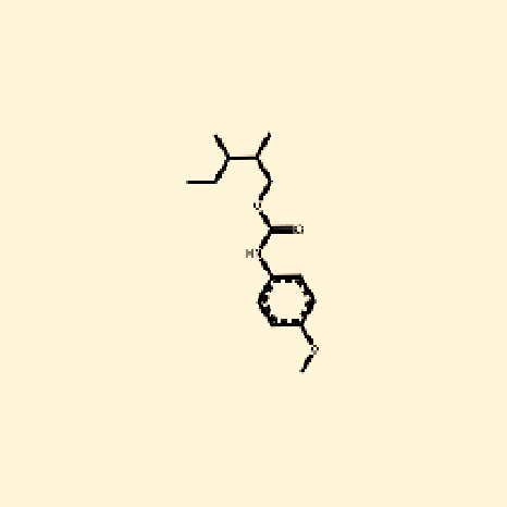 CCC(C)C(C)COC(=O)Nc1ccc(OC)cc1